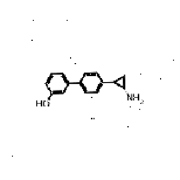 N[C@H]1CC1c1ccc(-c2cccc(O)c2)cc1